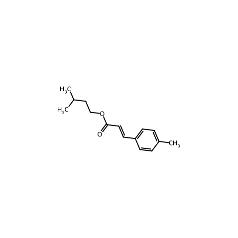 Cc1ccc(C=CC(=O)OCCC(C)C)cc1